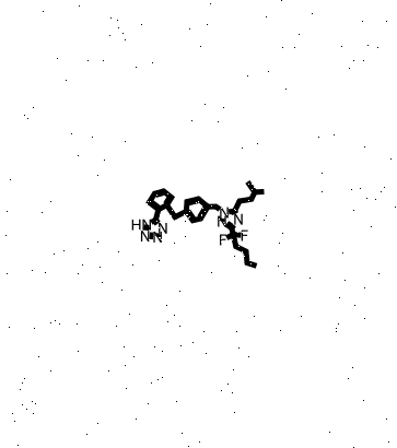 CCCCC(F)(F)c1nc(CCC(C)C)n(Cc2ccc(Cc3ccccc3-c3nnn[nH]3)cc2)n1